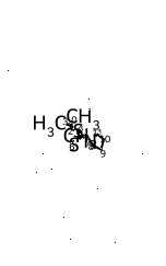 CC(C)(C)SC(=S)N1CCCC1